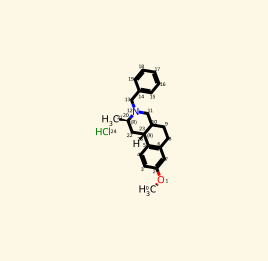 COc1ccc2c(c1)CCC1CN(Cc3ccccc3)[C@H](C)C[C@@H]21.Cl